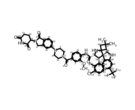 COc1cc(C(=O)N2CCN(c3ccc4c(c3)CN(C3CCC(=O)NC3=O)C4=O)CC2)ccc1NC(=O)[C@@H]1NC2(CC(C)(C)C2)[C@@]2(CNc3cc(C(F)(F)F)ncc32)[C@H]1c1cccc(Cl)c1F